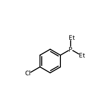 CCP(CC)c1ccc(Cl)cc1